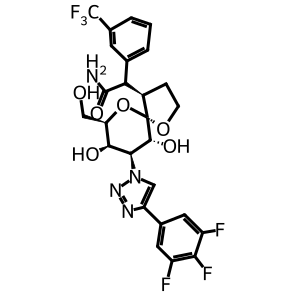 NC(=O)C(c1cccc(C(F)(F)F)c1)[C@H]1CCO[C@]12O[C@H](CO)[C@H](O)[C@H](n1cc(-c3cc(F)c(F)c(F)c3)nn1)[C@H]2O